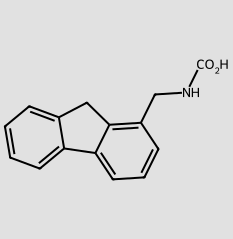 O=C(O)NCc1cccc2c1Cc1ccccc1-2